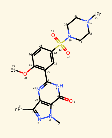 CCCc1nn(C)c2c(=O)[nH]c(-c3cc(S(=O)(=O)N4CCN(C(C)C)CC4)ccc3OCC)nc12